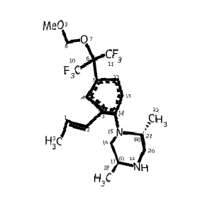 CC=Cc1cc(C(OCOC)(C(F)(F)F)C(F)(F)F)ccc1N1C[C@H](C)NC[C@H]1C